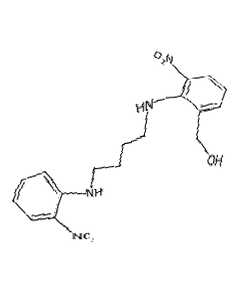 O=[N+]([O-])c1ccccc1NCCCCNc1c(CO)cccc1[N+](=O)[O-]